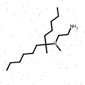 CCCCCCC(C)(CCCCC)N(C)CCN